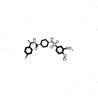 CCOc1ccc(S(=O)(=O)N[C@H]2CC[C@H](C(=O)N[C@H](C)c3ccc(F)cc3)CC2)cc1[N+](=O)[O-]